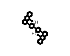 C#Cc1c2ccccc2cc2cccc(-c3ccc(-c4ccc(-c5cccc6cc7ccccc7c(C#C)c56)cc4)cc3)c12